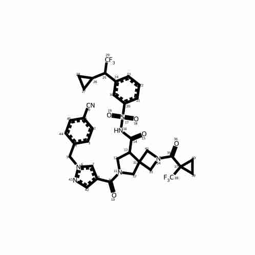 N#Cc1ccc(Cn2cc(C(=O)N3CC(C(=O)NS(=O)(=O)c4cccc(C(C5CC5)C(F)(F)F)c4)C4(C3)CN(C(=O)C3(C(F)(F)F)CC3)C4)cn2)cc1